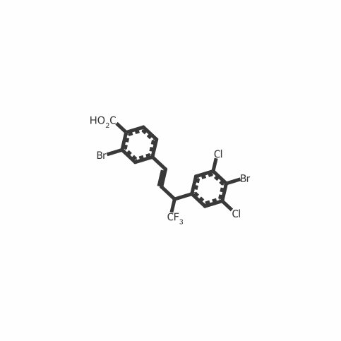 O=C(O)c1ccc(C=CC(c2cc(Cl)c(Br)c(Cl)c2)C(F)(F)F)cc1Br